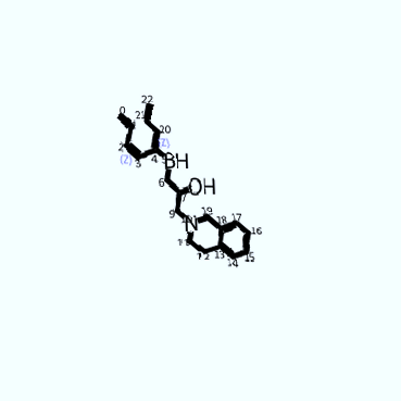 C=C/C=C\C(BCC(O)CN1CCc2ccccc2C1)=C/C=C